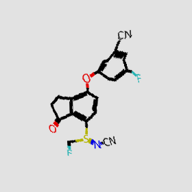 N#C/N=S(/CF)c1ccc(Oc2cc(F)cc(C#N)c2)c2c1C(=O)CC2